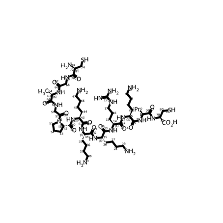 CC(C)[C@H](NC(=O)[C@H](CCCCN)NC(=O)[C@H](CCCNC(=N)N)NC(=O)[C@H](CCCCN)NC(=O)[C@H](CCCCN)NC(=O)[C@H](CCCCN)NC(=O)[C@@H]1CCCN1C(=O)CNC(=O)[C@H](C)NC(=O)CNC(=O)[C@@H](N)CS)C(=O)N[C@@H](CS)C(=O)O